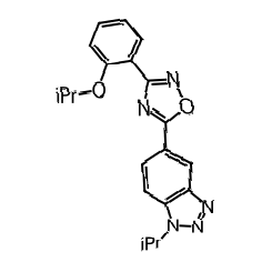 CC(C)Oc1ccccc1-c1noc(-c2ccc3c(c2)nnn3C(C)C)n1